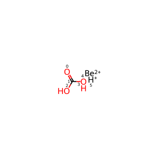 O=C(O)O.[Be+2].[H+]